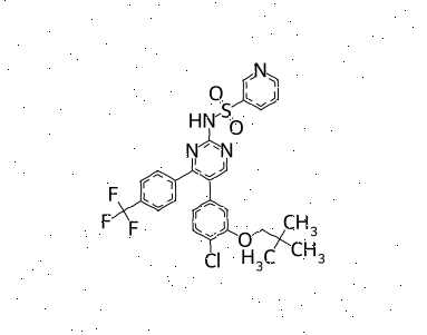 CC(C)(C)COc1cc(-c2cnc(NS(=O)(=O)c3cccnc3)nc2-c2ccc(C(F)(F)F)cc2)ccc1Cl